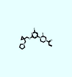 C=CC(=O)N1CCN(c2cc(F)nc(OCC3(CN4CCCC4)CC3)c2)[C@@H](C)C1